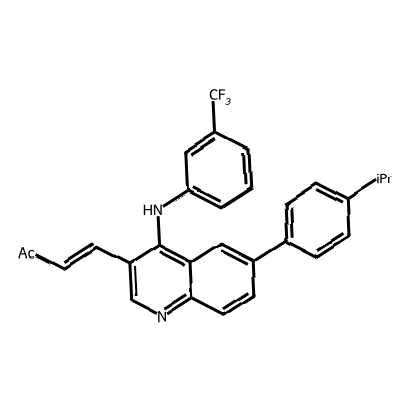 CC(=O)/C=C/c1cnc2ccc(-c3ccc(C(C)C)cc3)cc2c1Nc1cccc(C(F)(F)F)c1